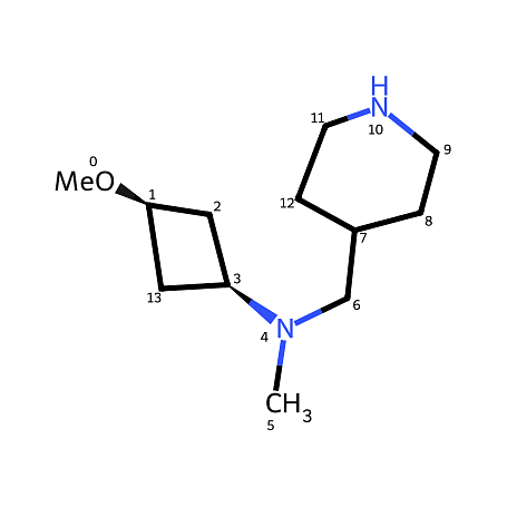 CO[C@H]1C[C@@H](N(C)CC2CCNCC2)C1